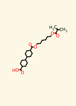 C=C(C)C(=O)OCCCCCCOC(=O)C1CCC(C2CCC(C(=O)O)CC2)CC1